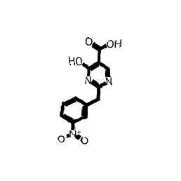 O=C(O)c1cnc(Cc2cccc([N+](=O)[O-])c2)nc1O